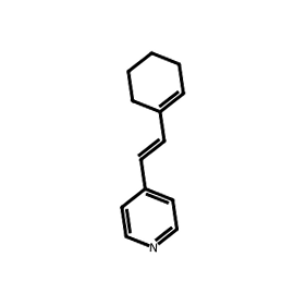 C1=C(/C=C/c2ccncc2)CCCC1